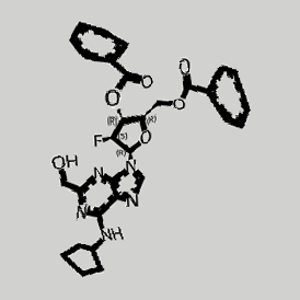 O=C(OC[C@H]1O[C@@H](n2cnc3c(NC4CCCC4)nc(CO)nc32)[C@@H](F)[C@@H]1OC(=O)c1ccccc1)c1ccccc1